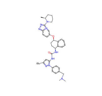 C[C@H]1CCCCN1c1nnc2ccc(O[C@@H]3CC[C@H](NC(=O)Nc4cc(C(C)(C)C)nn4-c4ccc(CN(C)C)cc4)c4ccccc43)cn12